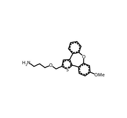 COc1ccc2c(c1)Oc1ccccc1-c1cc(COCCCN)sc1-2